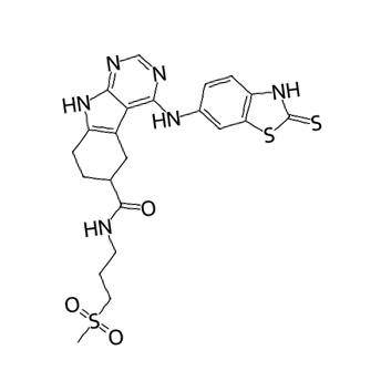 CS(=O)(=O)CCCNC(=O)C1CCc2[nH]c3ncnc(Nc4ccc5[nH]c(=S)sc5c4)c3c2C1